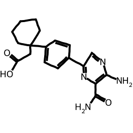 NC(=O)c1nc(-c2ccc(C3(CC(=O)O)CCCCC3)cc2)cnc1N